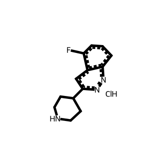 Cl.Fc1cccc2nnc(C3CCNCC3)cc12